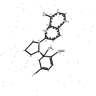 COC1=CC=C(F)CC1(C)[C@H]1CCCN1c1ccc2ncnc(Cl)c2n1